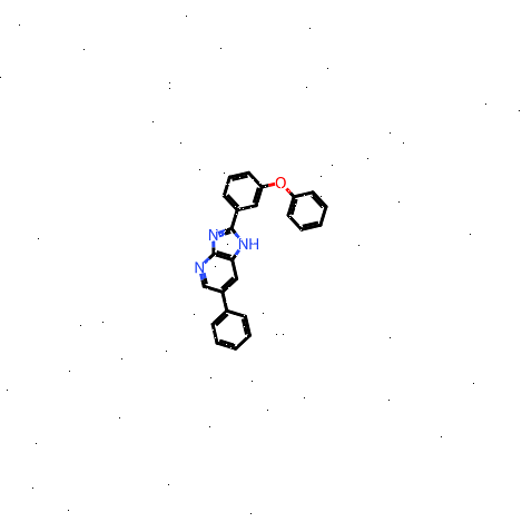 c1ccc(Oc2cccc(-c3nc4ncc(-c5ccccc5)cc4[nH]3)c2)cc1